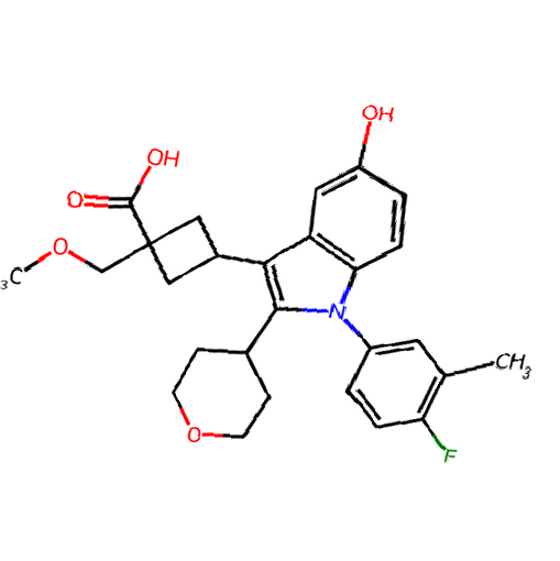 COCC1(C(=O)O)CC(c2c(C3CCOCC3)n(-c3ccc(F)c(C)c3)c3ccc(O)cc23)C1